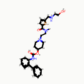 CN(CCN1CCC(OC(=O)Nc2ccccc2-c2ccccc2)CC1)C(=O)c1ccc(CNCCO)s1